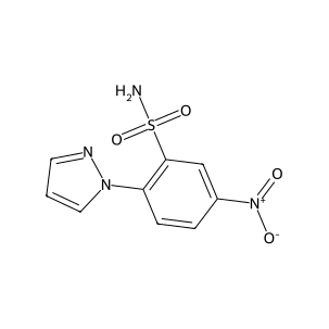 NS(=O)(=O)c1cc([N+](=O)[O-])ccc1-n1cccn1